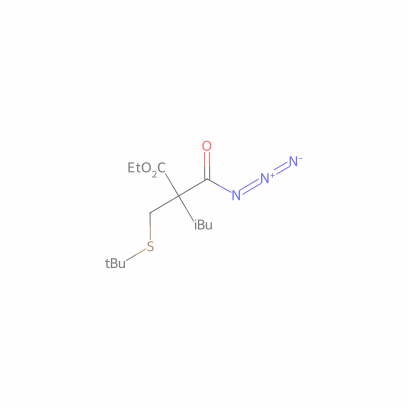 CCOC(=O)C(CSC(C)(C)C)(C(=O)N=[N+]=[N-])C(C)CC